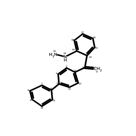 C=C(c1ccc(-c2ccccc2)cc1)c1ccccc1NN